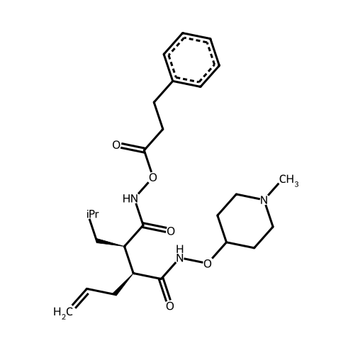 C=CC[C@H](C(=O)NOC1CCN(C)CC1)[C@@H](CC(C)C)C(=O)NOC(=O)CCc1ccccc1